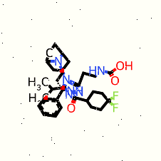 CC(C)c1nnc(CCNC(=O)O)n1C1CC2CCC(C1)N2CC[C@H](NC(=O)C1CCC(F)(F)CC1)c1ccccc1